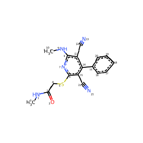 CNC(=O)CSc1nc(NC)c(C#N)c(-c2ccccc2)c1C#N